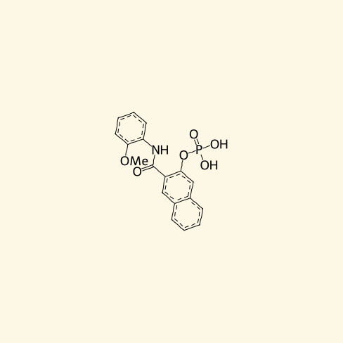 COc1ccccc1NC(=O)c1cc2ccccc2cc1OP(=O)(O)O